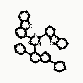 c1ccc(-c2ccc3c(-c4nc(-c5cccc6c5oc5ccccc56)nc(-c5cccc6c5oc5ccccc56)n4)c(-c4ccccc4)ccc3c2)cc1